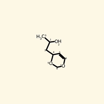 CC(O)CC1C=COCO1